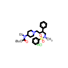 CCN(C(=O)OCC(C)C)C1CCN(CCC(CN(C)S(=O)(=O)c2ccccc2)c2ccccc2)CC1.Cl